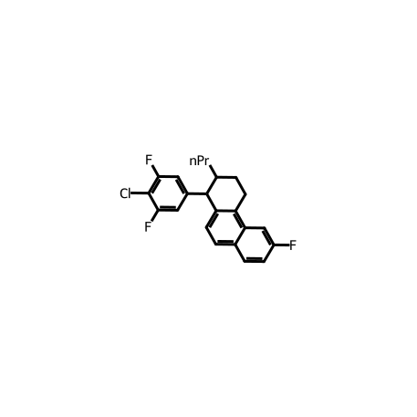 CCCC1CCc2c(ccc3ccc(F)cc23)C1c1cc(F)c(Cl)c(F)c1